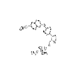 C[Si](C)(C)CCOCC1N=CC=C1c1ccc(Oc2ccc3cc(C=O)ccc3c2)nc1